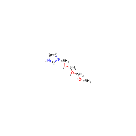 [SiH3]O[SiH2]O[SiH2]O[SiH2]n1ccnc1